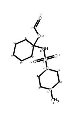 CN1CCN(S(=O)(=O)NC2(OC=O)CCCCC2)CC1